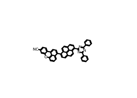 N#Cc1ccc2c(c1)Oc1cccc3c(-c4ccc5ccc6c(-c7nc(-c8ccccc8)nc(-c8ccccc8)n7)ccc7ccc4c5c76)ccc-2c13